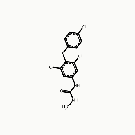 CNC(=O)Nc1cc(Cl)c(Sc2ccc(Cl)cc2)c(Cl)c1